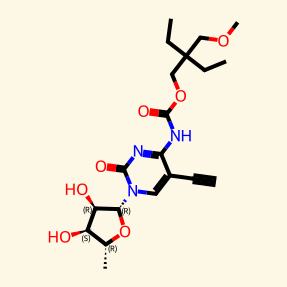 C#Cc1cn([C@@H]2O[C@H](C)[C@@H](O)[C@H]2O)c(=O)nc1NC(=O)OCC(CC)(CC)COC